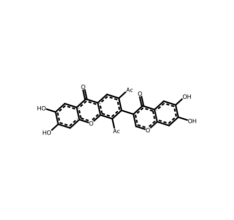 CC(=O)c1cc2c(=O)c3cc(O)c(O)cc3oc2c(C(C)=O)c1-c1coc2cc(O)c(O)cc2c1=O